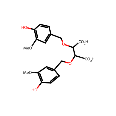 COc1cc(COC(C(=O)O)C(OCc2ccc(O)c(OC)c2)C(=O)O)ccc1O